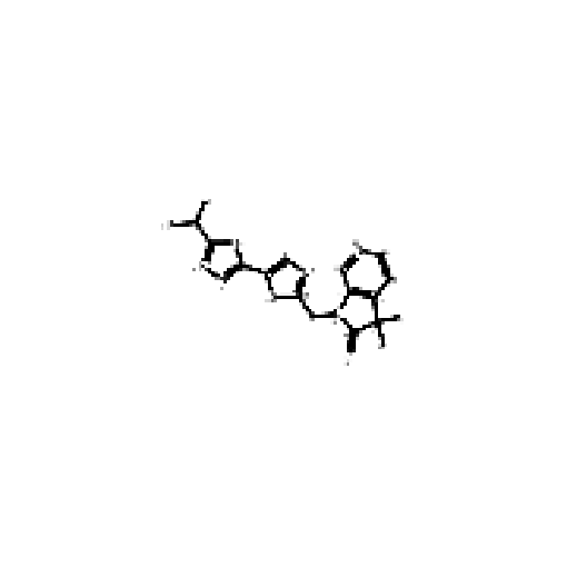 CC(F)c1nnc(-c2cnc(CN3C(=O)C(C)(C)c4ccncc43)s2)o1